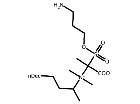 CCCCCCCCCCCCC(C)[N+](C)(C)C(C)(C(=O)[O-])S(=O)(=O)OCCCN